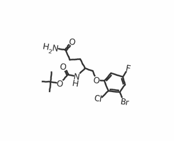 CC(C)(C)OC(=O)NC(CCC(N)=O)COc1cc(F)cc(Br)c1Cl